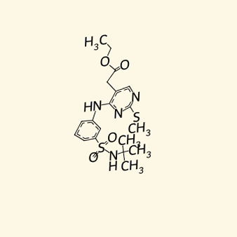 CCOC(=O)Cc1cnc(SC)nc1Nc1cccc(S(=O)(=O)NC(C)(C)C)c1